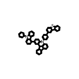 CC12c3ccccc3-c3cccc(c31)N(c1ccc(-c3ccc4sc5ccccc5c4c3)cc1)c1ccc(-c3cccc4c3c3ccccc3n4-c3ccccc3)cc12